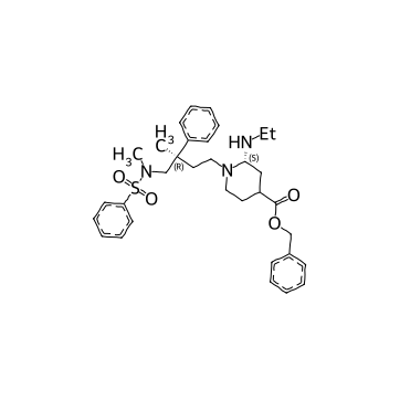 CCN[C@@H]1CC(C(=O)OCc2ccccc2)CCN1CC[C@@](C)(CN(C)S(=O)(=O)c1ccccc1)c1ccccc1